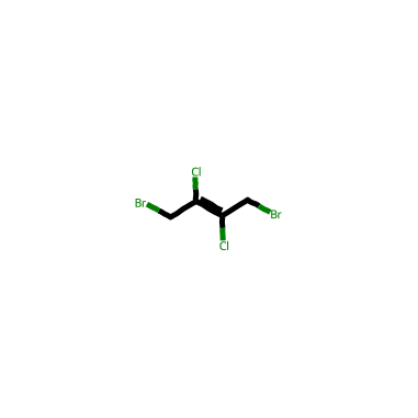 ClC(CBr)=C(Cl)CBr